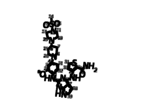 COc1cc(N2CCC(N3CCN(S(C)(=O)=O)CC3)CC2)ccc1Nc1nc(Nc2ccsc2C(N)=O)c2ccnc-2[nH]1